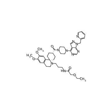 CCOCC(=O)NCCCN1CCc2cc(OC)c(OC)cc2[C@]12CC[C@@H](C(=O)N1CCN(c3ncnc4c3cnn4Cc3ccccn3)CC1)CC2